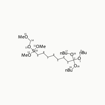 CCCCOC(CCCCCCC[Si](OC)(OC)OCOC)(OCCCC)OCCCC